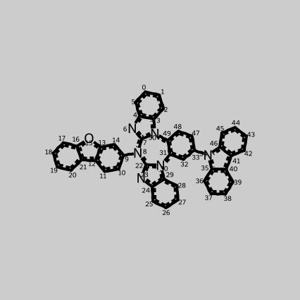 c1ccc2c(c1)nc1n(-c3ccc4c(c3)oc3ccccc34)c3nc4ccccc4n3c3cc(-n4c5ccccc5c5ccccc54)ccc3n21